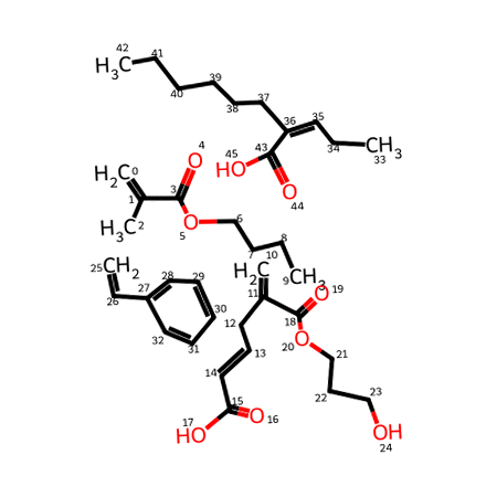 C=C(C)C(=O)OCCCC.C=C(CC=CC(=O)O)C(=O)OCCCO.C=Cc1ccccc1.CCC=C(CCCCCC)C(=O)O